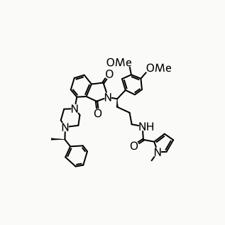 COc1ccc([C@@H](CCCNC(=O)c2cccn2C)N2C(=O)c3cccc(N4CCN([C@H](C)c5ccccc5)CC4)c3C2=O)cc1OC